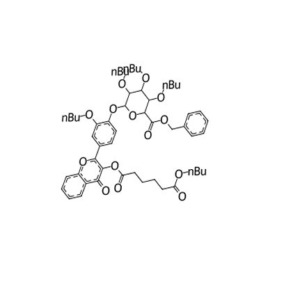 CCCCOC(=O)CCCCC(=O)Oc1c(-c2ccc(OC3OC(C(=O)OCc4ccccc4)C(OCCCC)C(OCCCC)C3OCCCC)c(OCCCC)c2)oc2ccccc2c1=O